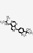 CC(C)Nc1ncnc2c1cnn2-c1ccc(C(C)(C)C)cc1